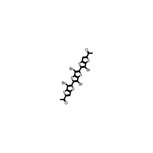 CC(=O)c1cc2sc(-c3sc4c(Br)c(-c5sc6cc(C(C)=O)sc6c5Br)sc4c3Br)c(Br)c2s1